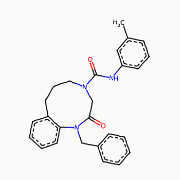 Cc1cccc(NC(=O)N2CCCc3ccccc3N(Cc3ccccc3)C(=O)C2)c1